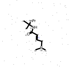 CCCC(C)(C)NC(=O)/C=C/CN(C)C